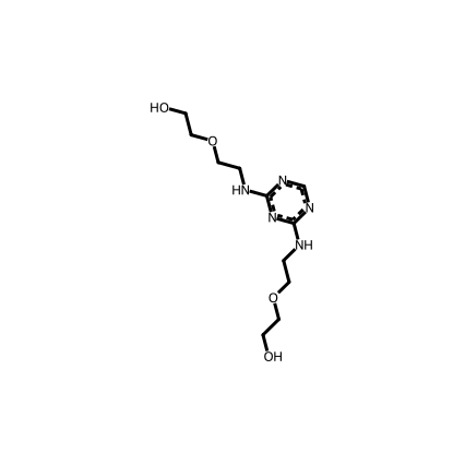 OCCOCCNc1ncnc(NCCOCCO)n1